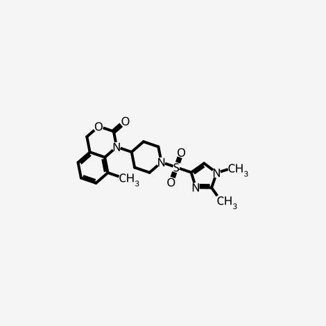 Cc1cccc2c1N(C1CCN(S(=O)(=O)c3cn(C)c(C)n3)CC1)C(=O)OC2